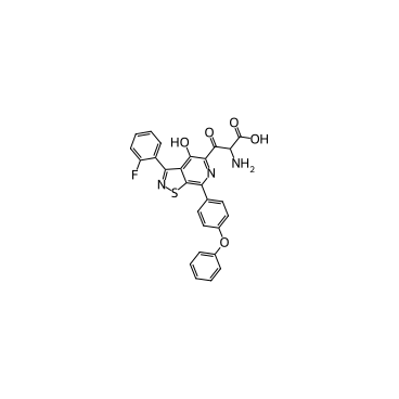 NC(C(=O)O)C(=O)c1nc(-c2ccc(Oc3ccccc3)cc2)c2snc(-c3ccccc3F)c2c1O